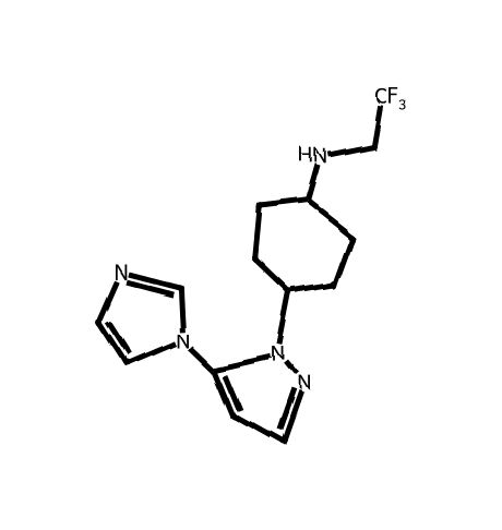 FC(F)(F)CNC1CCC(n2nccc2-n2ccnc2)CC1